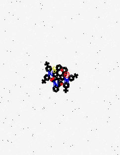 CC(C)(C)c1ccc(N(c2ccc(C(C)(C)C)cc2)c2cc3c(c4c2oc2ccccc24)-c2c(cc(N(c4ccc(C(C)(C)C)cc4)c4ccc(C(C)(C)C)cc4)c4sc5ccccc5c24)C32c3ccccc3-n3c4ccccc4c4cccc2c43)cc1